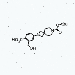 CC(C)(C)OC(=O)N1CCC2(CC1)CN(c1ccc(C(=O)O)c(CO)c1)C2